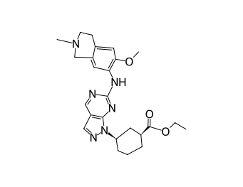 CCOC(=O)[C@H]1CCC[C@@H](n2ncc3cnc(Nc4cc5c(cc4OC)CCN(C)C5)nc32)C1